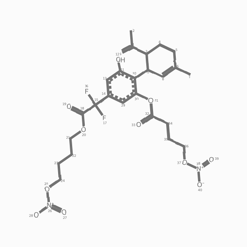 C=C(C)C1CCC(C)=CC1c1c(O)cc(C(F)(F)C(=O)OCCCCO[N+](=O)[O-])cc1OC(=O)CCCO[N+](=O)[O-]